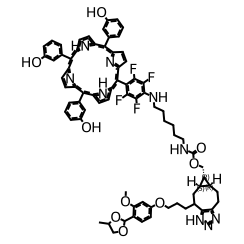 COc1cc(OCCCC2C[C@H]3[C@@H](CCc4nn[nH]c42)[C@H]3COC(=O)NCCCCCCNc2c(F)c(F)c(-c3c4nc(c(-c5cccc(O)c5)c5ccc([nH]5)c(-c5cccc(O)c5)c5nc(c(-c6cccc(O)c6)c6ccc3[nH]6)C=C5)C=C4)c(F)c2F)ccc1C1OCC(C)O1